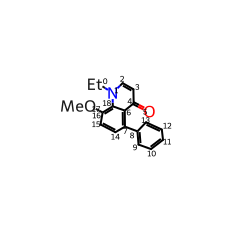 CCn1ccc(=O)c2c(-c3ccccc3)ccc(OC)c21